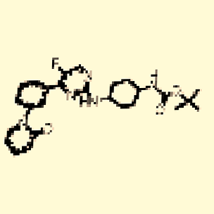 CC(C)(C)OC(=O)N[C@H]1CC[C@H](Nc2ncc(F)c(-c3cccc(-n4ccccc4=O)c3)n2)CC1